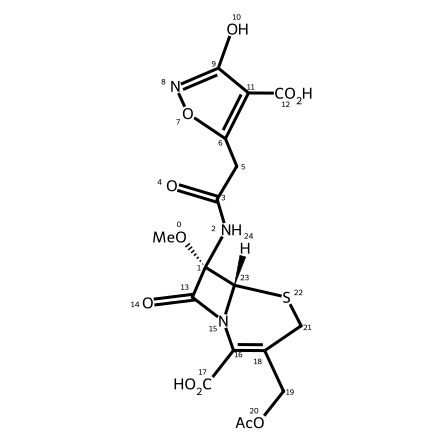 CO[C@@]1(NC(=O)Cc2onc(O)c2C(=O)O)C(=O)N2C(C(=O)O)=C(COC(C)=O)CS[C@H]21